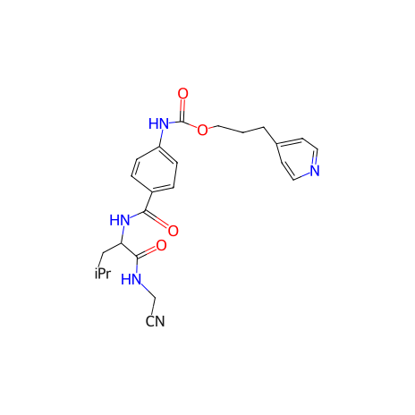 CC(C)CC(NC(=O)c1ccc(NC(=O)OCCCc2ccncc2)cc1)C(=O)NCC#N